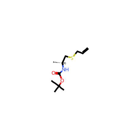 C=CCSC[C@@H](C)NC(=O)OC(C)(C)C